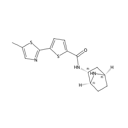 Cc1cnc(-c2ccc(C(=O)N[C@@H]3C[C@H]4CC[C@@H]3N4)s2)s1